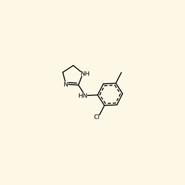 Cc1ccc(Cl)c(NC2=NCCN2)c1